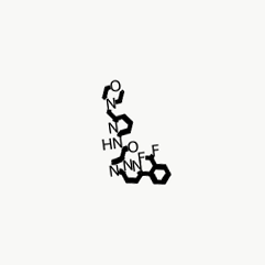 O=C(Nc1cccc(CN2CCOCC2)n1)c1cnc2ccc(-c3ccccc3C(F)F)nn12